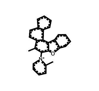 Cc1c(-[n+]2ccccc2C)c2oc3ccccc3c2c2c1ccc1ccccc12